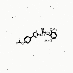 COc1cccc(OC)c1CNC(=N)Nc1nc(-c2ccc(OC(F)F)cc2)cs1